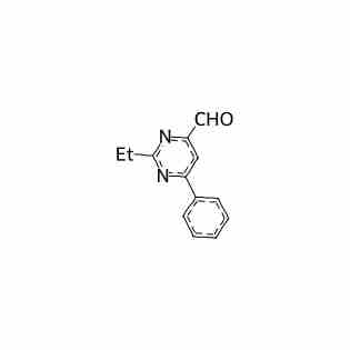 CCc1nc(C=O)cc(-c2ccccc2)n1